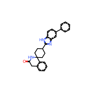 O=C1Cc2ccccc2C2(CCC(c3nc4cc(-c5ccccc5)ccc4[nH]3)CC2)N1